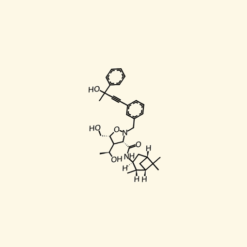 C[C@@H]1[C@@H](NC(=O)[C@@H]2C([C@H](C)O)[C@H](CO)ON2Cc2cccc(C#CC(C)(O)c3ccccc3)c2)C[C@H]2C[C@@H]1C2(C)C